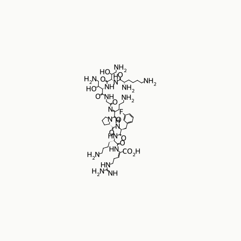 N=C(N)NCC/C=C(\NC(=O)[C@H](CCCCN)NC(=O)[C@H](Cc1cccc(F)c1)NC(=O)[C@@H]1CCCN1C(=O)/C(CCCN)=N/C(=O)CNC(=O)[C@@H](NC(=O)[C@@H](NC(=O)[C@@H](N)CCCCN)[C@@H](O)CN)[C@@H](O)CN)C(=O)O